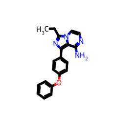 CCc1nc(-c2ccc(Oc3ccccc3)cc2)c2c(N)nccn12